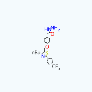 CCCCc1nc(-c2ccc(C(F)(F)F)cc2)sc1COc1ccc(CC(=O)NN)cc1